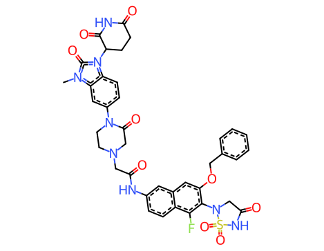 Cn1c(=O)n(C2CCC(=O)NC2=O)c2ccc(N3CCN(CC(=O)Nc4ccc5c(F)c(N6CC(=O)NS6(=O)=O)c(OCc6ccccc6)cc5c4)CC3=O)cc21